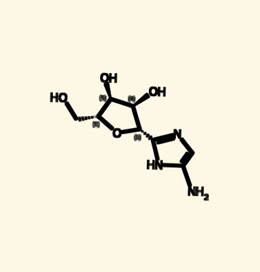 Nc1cnc([C@@H]2O[C@H](CO)[C@@H](O)[C@H]2O)[nH]1